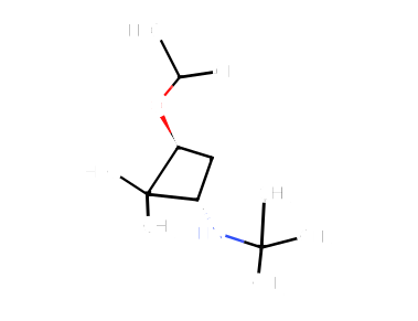 CC(C)O[C@H]1C[C@H](NC(C)(C)C)C1(C)C